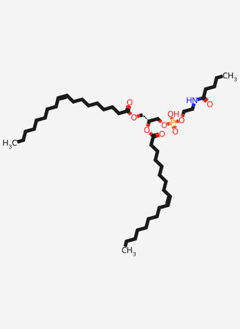 CCCCCCCC/C=C\CCCCCCCC(=O)OC[C@H](COP(=O)(O)OCCNC(=O)CCCC)OC(=O)CCCCCCC/C=C\CCCCCCCC